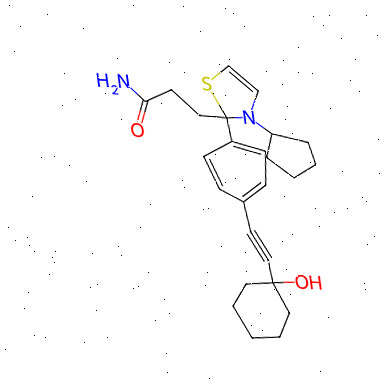 NC(=O)CCC1(c2ccc(C#CC3(O)CCCCC3)cc2)SC=CN1C1CCCC1